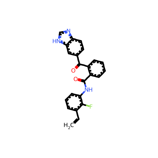 C=Cc1cccc(NC(=O)c2ccccc2C(=O)c2ccc3nc[nH]c3c2)c1F